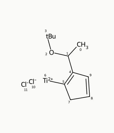 CC(OC(C)(C)C)C1=[C]([Ti+2])CC=C1.[Cl-].[Cl-]